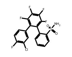 NS(=O)(=O)c1ccccc1-c1c(F)c(F)c(F)c(F)c1-c1ccc(F)c(Cl)c1